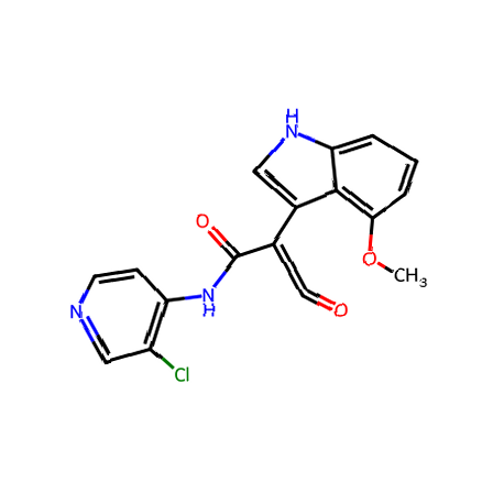 COc1cccc2[nH]cc(C(=C=O)C(=O)Nc3ccncc3Cl)c12